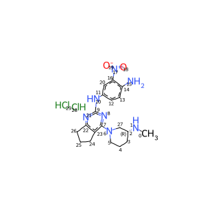 CN[C@@H]1CCCN(c2nc(Nc3ccc(N)c([N+](=O)[O-])c3)nc3c2CCC3)C1.Cl.Cl